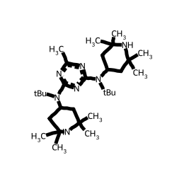 Cc1nc(N(C2CC(C)(C)NC(C)(C)C2)C(C)(C)C)nc(N(C2CC(C)(C)NC(C)(C)C2)C(C)(C)C)n1